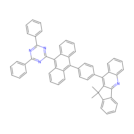 CC1(C)c2ccccc2-c2nc3ccccc3c(-c3ccc(-c4c5ccccc5c(-c5nc(-c6ccccc6)nc(-c6ccccc6)n5)c5ccccc45)cc3)c21